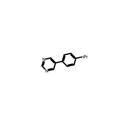 CCCc1ccc(-c2cncnc2)cc1